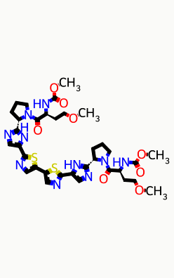 COCC[C@H](NC(=O)OC)C(=O)N1CCC[C@H]1c1ncc(-c2ncc(-c3cnc(-c4cnc([C@@H]5CCCN5C(=O)[C@H](CCOC)NC(=O)OC)[nH]4)s3)s2)[nH]1